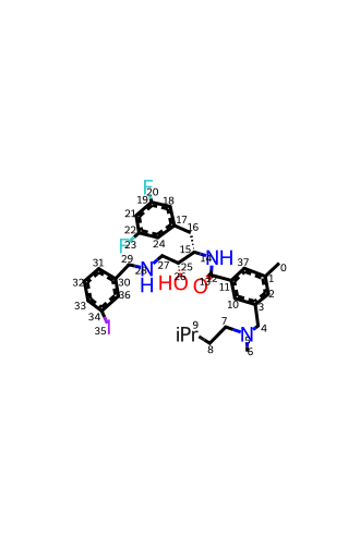 Cc1cc(CN(C)CCC(C)C)cc(C(=O)N[C@@H](Cc2cc(F)cc(F)c2)[C@H](O)CNCc2cccc(I)c2)c1